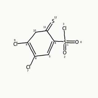 O=S(=O)(Cl)C1=CC(Cl)=C(Cl)CC1=S